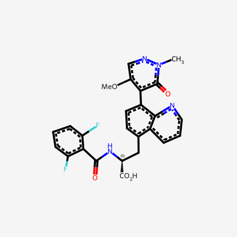 COc1cnn(C)c(=O)c1-c1ccc(C[C@H](NC(=O)c2c(F)cccc2F)C(=O)O)c2cccnc12